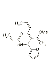 C=CC(=O)NC(/C(=C/C=C\C)C(=C)OC)c1ccco1